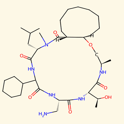 CC(C)C[C@H]1C(=O)NC(C2CCCCC2)C(=O)N[C@@H](CN)C(=O)N[C@@H]([C@H](C)O)C(=O)N[C@H](C)CO[C@@H]2CCCCCCCC[C@H]2C(=O)N1C